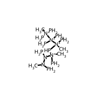 CN(P)N(P)[N+](C)(P)P[N+](C)(P)[N+](P)(P)[N+](C)(P)P